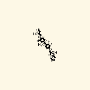 CC(C)(c1ccc(OC[C@@H](O)CN2CCSCC2)cc1)c1ccc(OC[C@H](O)CCl)c(I)c1